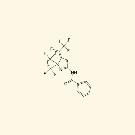 O=C(NC1=NC(C(F)(F)F)(C(F)(F)F)/C(=C(\F)C(F)(F)F)S1)c1ccccc1